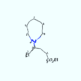 CCOC(=O)CC(CC)N1CCCCC1